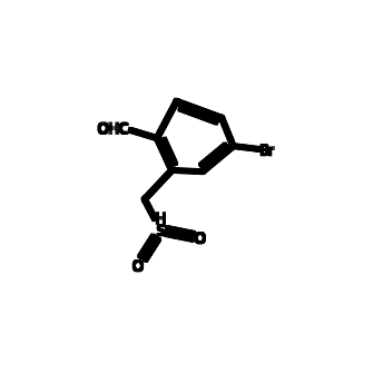 O=Cc1ccc(Br)cc1C[SH](=O)=O